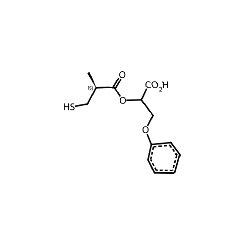 C[C@H](CS)C(=O)OC(COc1ccccc1)C(=O)O